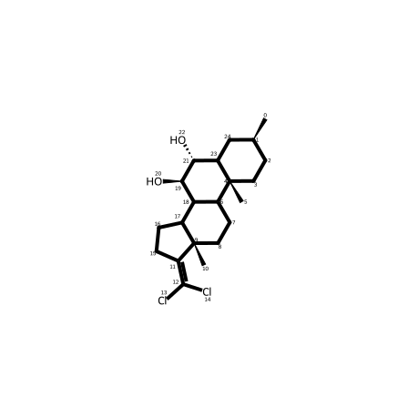 C[C@H]1CC[C@]2(C)C3CC[C@]4(C)C(=C(Cl)Cl)CCC4C3[C@@H](O)[C@H](O)C2C1